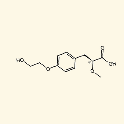 CO[C@@H](Cc1ccc(OCCO)cc1)C(=O)O